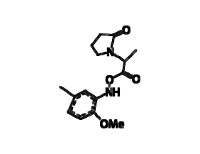 COc1ccc(C)cc1NOC(=O)C(C)N1CCCC1=O